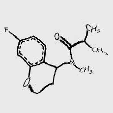 CC(C)C(=O)N(C)C1CCOc2cc(F)ccc21